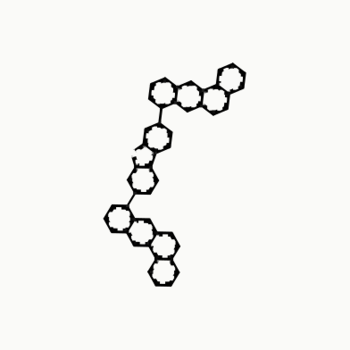 c1cc(-c2ccc3c(c2)sc2cc(-c4cccc5cc6c(ccc7ccccc76)cc45)ccc23)c2cc3ccc4ccccc4c3cc2c1